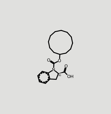 O=C(O)[C@H]1Cc2ccccc2N1C(=O)OC1CCCCCCCCCCC1